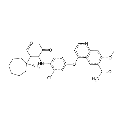 COc1cc2nccc(Oc3ccc(N/C(C(C)=O)=C(/C=O)C4(N)CCCCCC4)c(Cl)c3)c2cc1C(N)=O